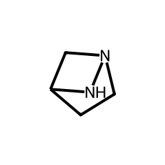 C1CN2CC1N2